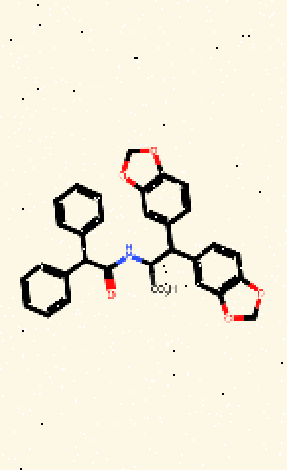 O=C(NC(C(=O)O)C(c1ccc2c(c1)OCO2)c1ccc2c(c1)OCO2)C(c1ccccc1)c1ccccc1